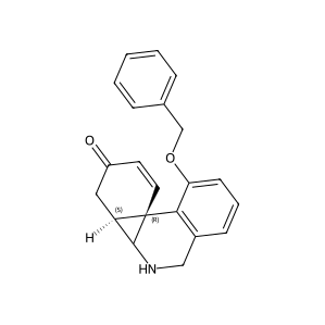 O=C1C=C[C@@]23c4c(cccc4OCc4ccccc4)CNC2[C@H]3C1